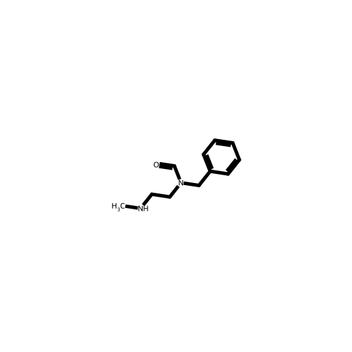 CNCCN(C=O)Cc1ccccc1